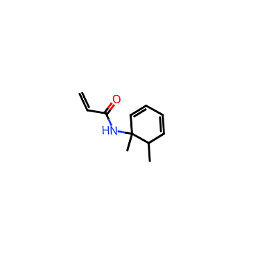 C=CC(=O)NC1(C)C=CC=CC1C